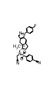 C[C@]12Cc3cnn(-c4ccc(F)cc4)c3C=C1CC[C@@H]2CN(CC#N)S(=O)(=O)c1ccc(C#N)cc1